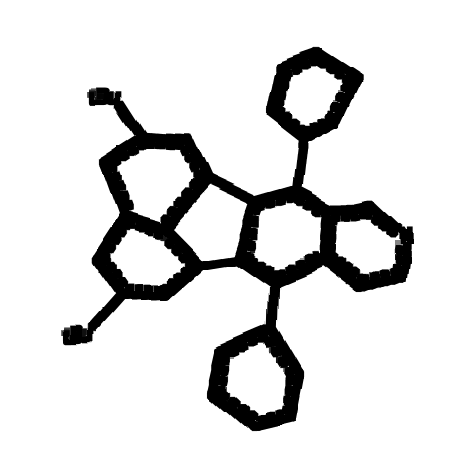 CC(C)(C)c1cc2c3c(cc(C(C)(C)C)cc3c1)-c1c-2c(-c2ccccc2)c2ccncc2c1-c1ccccc1